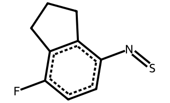 Fc1ccc(N=S)c2c1CCC2